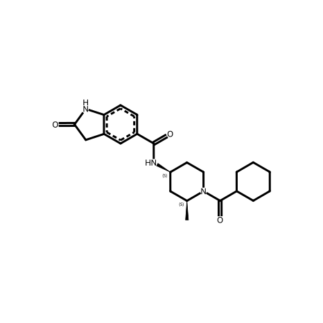 C[C@H]1C[C@@H](NC(=O)c2ccc3c(c2)CC(=O)N3)CCN1C(=O)C1CCCCC1